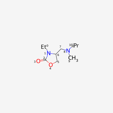 CCN1C(=O)OCC1CN(C)C(C)C